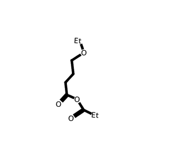 CCOCCCC(=O)OC(=O)CC